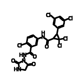 O=C(NN1C(=O)CNC1=O)c1cc(NC(=O)C2C(c3cc(Cl)cc(Cl)c3)C2(Cl)Cl)ccc1Cl